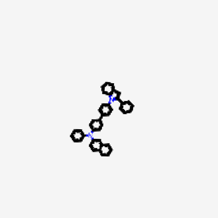 c1ccc(-c2cc3ccccc3n2-c2ccc(-c3ccc(N(c4ccccc4)c4ccc5ccccc5c4)cc3)cc2)cc1